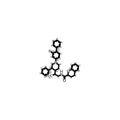 CC(CNC(=O)C1CCc2ccccc2O1)C1CCN(c2ccc(-c3ccccc3)c(F)c2)CC1c1ccccc1